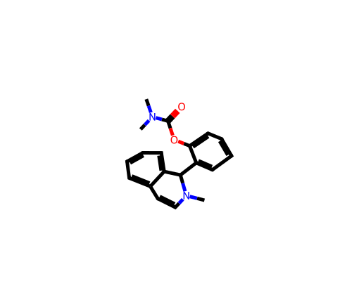 CN(C)C(=O)Oc1ccccc1C1c2ccccc2C=CN1C